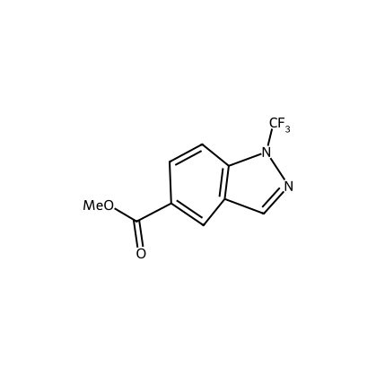 COC(=O)c1ccc2c(cnn2C(F)(F)F)c1